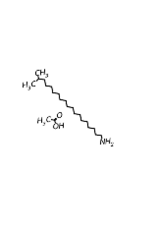 CC(=O)O.CC(C)CCCCCCCCCCCCCCCCCN